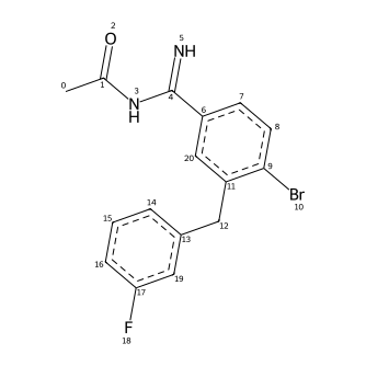 CC(=O)NC(=N)c1ccc(Br)c(Cc2cccc(F)c2)c1